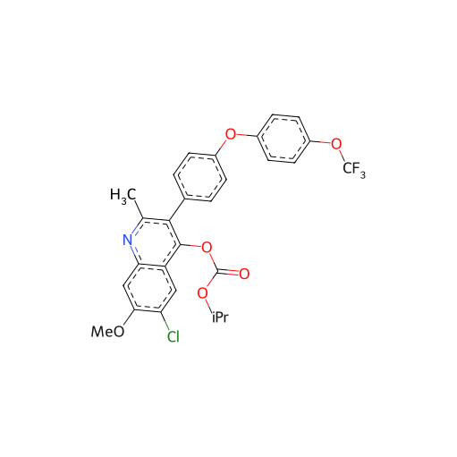 COc1cc2nc(C)c(-c3ccc(Oc4ccc(OC(F)(F)F)cc4)cc3)c(OC(=O)OC(C)C)c2cc1Cl